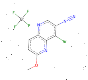 COc1ccc2ncc([N+]#N)c(Br)c2n1.F[B-](F)(F)F